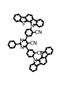 N#Cc1cc(-c2nc(-c3ccccc3)nc(-c3ccc(-n4c5ccccc5c5ccc6c7ccccc7sc6c54)c(C#N)c3)c2C#N)ccc1-n1c2ccccc2c2ccc3c4ccccc4sc3c21